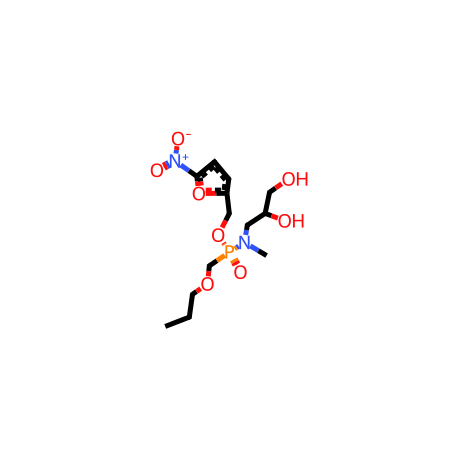 CCCOCP(=O)(OCc1ccc([N+](=O)[O-])o1)N(C)CC(O)CO